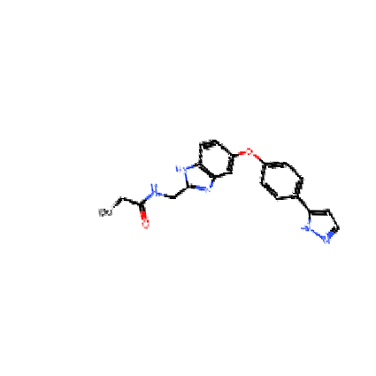 CC[C@H](C)CC(=O)NCc1nc2cc(Oc3ccc(-c4ccn[nH]4)cc3)ccc2[nH]1